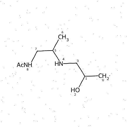 [CH2]C(O)CNC(C)CNC(C)=O